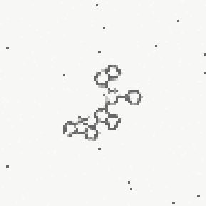 CC1(C)c2ccccc2-c2cccc(-c3ccc(-c4cc(-c5ccccc5)nc(-c5cccc6ccccc56)n4)c4ccccc34)c21